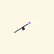 CCCCCCCCCCCCCCCCCCNC(N)=O.c1ccccc1